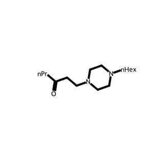 CCCCCCN1CCN(CCC(=O)CCC)CC1